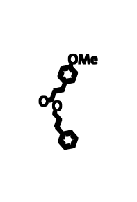 COc1ccc(C=CC(=O)OCC=Cc2ccccc2)cc1